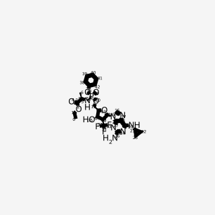 CCOC(=O)[C@@H](C)N[P@@](=O)(OC[C@H]1O[C@@H](n2cnc3c(NC4CC4)nc(N)nc32)[C@@H](C(F)(F)F)[C@@H]1O)Oc1ccccc1